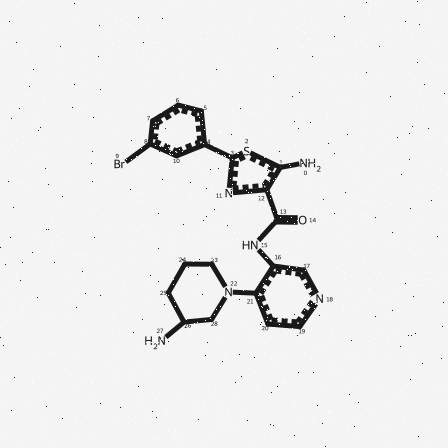 Nc1sc(-c2cccc(Br)c2)nc1C(=O)Nc1cnccc1N1CCCC(N)C1